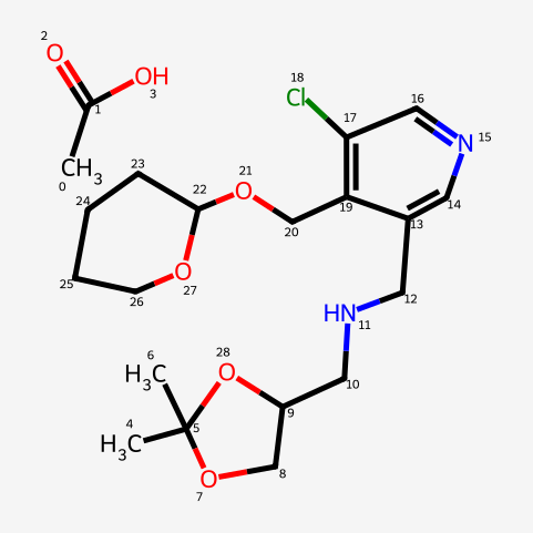 CC(=O)O.CC1(C)OCC(CNCc2cncc(Cl)c2COC2CCCCO2)O1